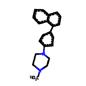 O=C(O)N1CCN(c2ccc(-c3cccc4ccccc34)cc2)CC1